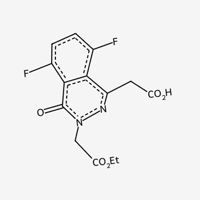 CCOC(=O)Cn1nc(CC(=O)O)c2c(F)ccc(F)c2c1=O